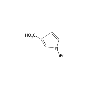 CC(C)n1ccc(C(=O)O)c1